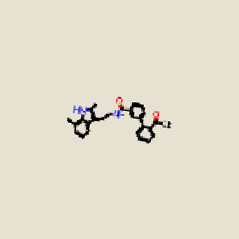 CCC(=O)c1ccccc1-c1cccc(C(=O)NCCc2c(C)[nH]c3c(C)cccc23)c1